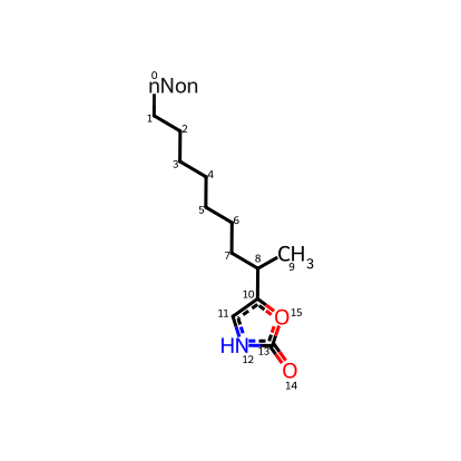 CCCCCCCCCCCCCCCCC(C)c1c[nH]c(=O)o1